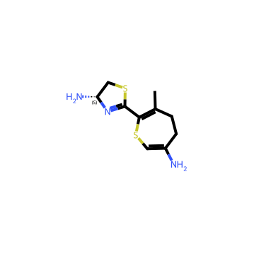 CC1=C(C2=N[C@H](N)CS2)SC=C(N)CC1